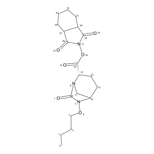 CCCCON1C(=O)N2CC1CC[C@H]2C(=O)ON1C(=O)C2CCCCC2C1=O